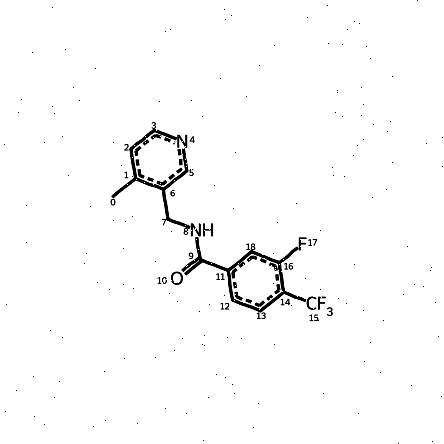 Cc1ccncc1CNC(=O)c1ccc(C(F)(F)F)c(F)c1